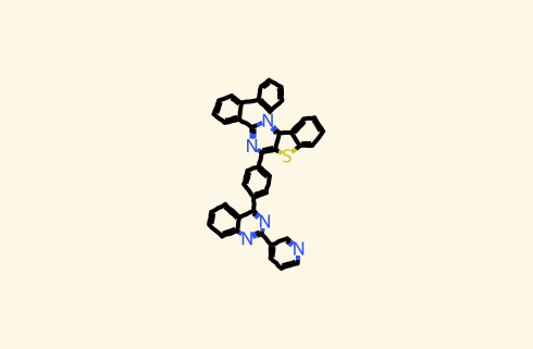 c1ccc(-c2ccccc2-c2nc(-c3ccc(-c4nc(-c5cccnc5)nc5ccccc45)cc3)c3sc4ccccc4c3n2)cc1